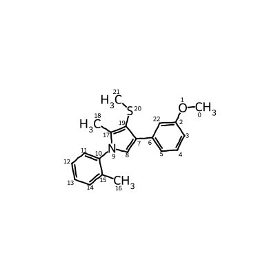 COc1cccc(-c2cn(-c3ccccc3C)c(C)c2SC)c1